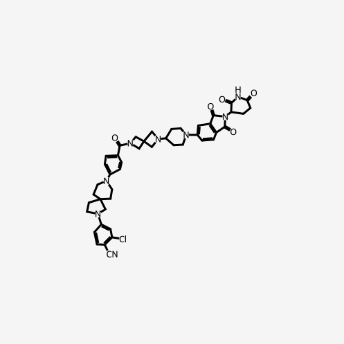 N#Cc1ccc(N2CCC3(CCN(c4ccc(C(=O)N5CC6(C5)CN(C5CCN(c7ccc8c(c7)C(=O)N(C7CCC(=O)NC7=O)C8=O)CC5)C6)cc4)CC3)C2)cc1Cl